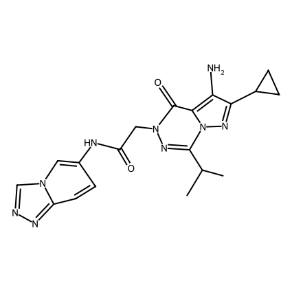 CC(C)c1nn(CC(=O)Nc2ccc3nncn3c2)c(=O)c2c(N)c(C3CC3)nn12